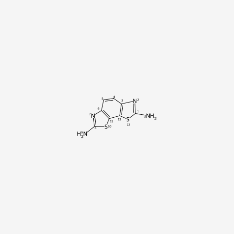 Nc1nc2ccc3nc(N)sc3c2s1